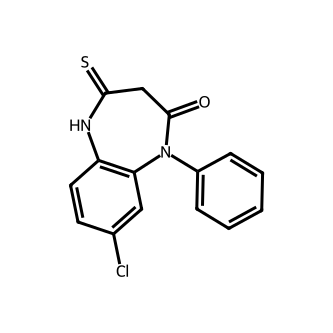 O=C1CC(=S)Nc2ccc(Cl)cc2N1c1ccccc1